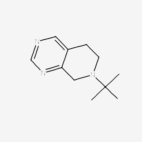 CC(C)(C)N1CCc2cncnc2C1